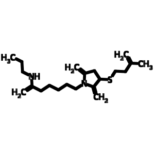 C=C(C)CCSC1CC(=C)N(CCCCCC(=C)NCCC)C1=C